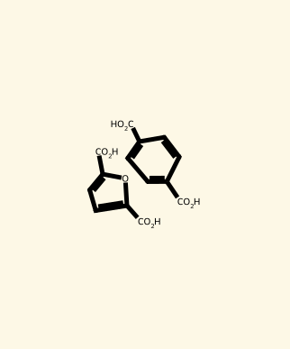 O=C(O)c1ccc(C(=O)O)cc1.O=C(O)c1ccc(C(=O)O)o1